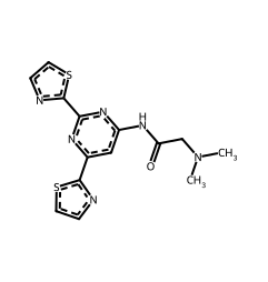 CN(C)CC(=O)Nc1cc(-c2nccs2)nc(-c2nccs2)n1